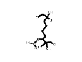 CC(Cl)(CCl)CCCCC(OP(O)O)C(C)(Cl)CCl